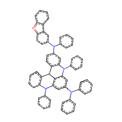 c1ccc(N(c2ccccc2)c2cc3c4c(c2)N(c2ccccc2)c2cc(N(c5ccccc5)c5ccc6oc7ccccc7c6c5)ccc2B4c2ccccc2N3c2ccccc2)cc1